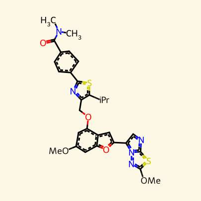 COc1cc(OCc2nc(-c3ccc(C(=O)N(C)C)cc3)sc2C(C)C)c2cc(-c3cnc4sc(OC)nn34)oc2c1